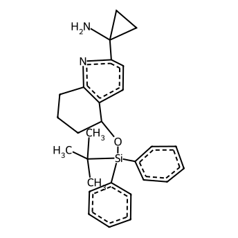 CC(C)(C)[Si](OC1CCCc2nc(C3(N)CC3)ccc21)(c1ccccc1)c1ccccc1